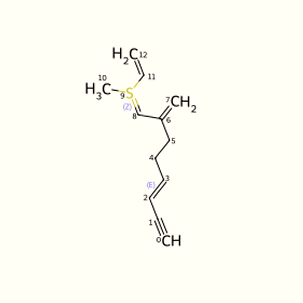 C#C/C=C/CCC(=C)/C=S(/C)C=C